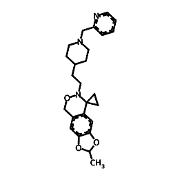 CC1Oc2cc3c(cc2O1)C1(CC1)N(CCC1CCN(Cc2ccccn2)CC1)OC3